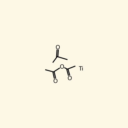 CC(=O)OC(C)=O.CC(C)=O.[Ti]